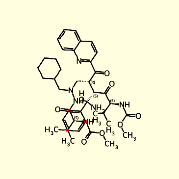 COC(=O)N[C@H](C(=O)NN(CC1CCCCC1)C[C@H](C(=O)c1ccc2ccccc2n1)[C@H](C(=O)[C@@H](NC(=O)OC)C(C)C)C(N)(O)c1ccccc1)C(C)C